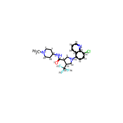 CN1CCC(NC(=O)C2CN(c3ccc(Cl)c4ncccc34)CC2C(F)(F)F)CC1